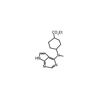 CCOC(=O)C1CCC(N(C)c2ncnc3[nH]ccc23)CC1